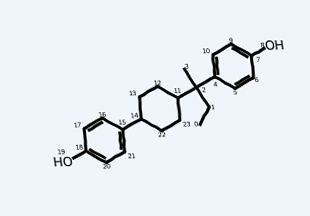 CCC(C)(c1ccc(O)cc1)C1CCC(c2ccc(O)cc2)CC1